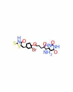 NC(C(=O)CCCOc1ccc(C=C2SC(=S)NC2=O)cc1Br)c1cc(=O)[nH]c(=O)[nH]1